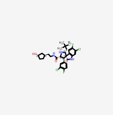 CC(C)(C)C[C@H]1N[C@@H](C(=O)NCC[C@H]2CC[C@H](O)C2)[C@H](c2ccc(F)c(Cl)c2)[C@@]12C(=O)Nc1cc(Cl)c(F)cc12